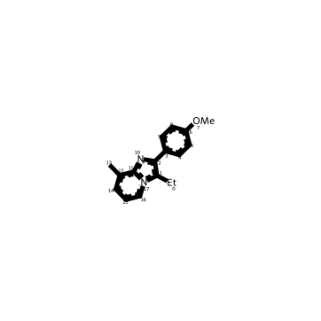 CCc1c(-c2ccc(OC)cc2)nc2c(C)cccn12